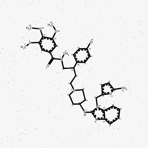 COc1cc(C(=O)N(C)CC(CCN2CCC(Nc3nc4ccccc4n3Cc3ccc(C)o3)CC2)c2ccc(Cl)cc2)cc(OC)c1OC